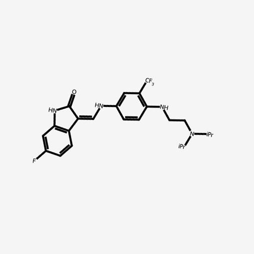 CC(C)N(CCNc1ccc(NC=C2C(=O)Nc3cc(F)ccc32)cc1C(F)(F)F)C(C)C